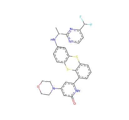 CC(Nc1ccc2c(c1)Sc1cccc(-c3cc(N4CCOCC4)cc(=O)[nH]3)c1S2)c1nccc(C(F)F)n1